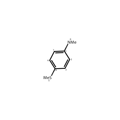 CNc1ccc(SC)cc1